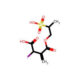 C=C(C(=O)OCC(C)S(=O)(=O)O)C(I)C(=O)O